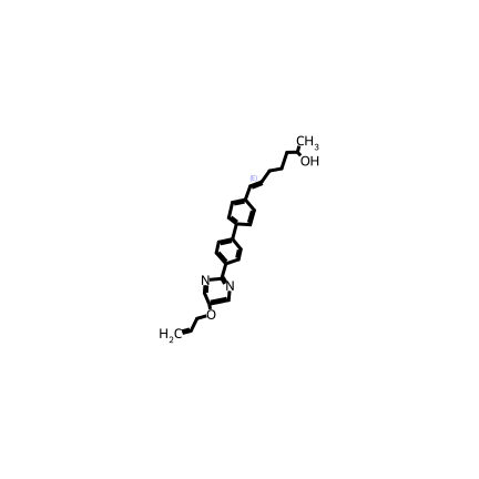 C=CCOc1cnc(-c2ccc(-c3ccc(/C=C/CCCC(C)O)cc3)cc2)nc1